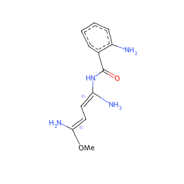 CO/C(N)=C/C=C(\N)NC(=O)c1ccccc1N